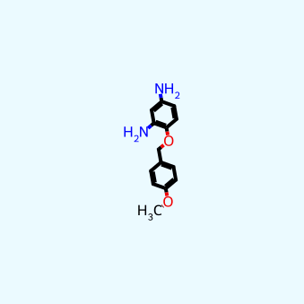 COc1ccc(COc2ccc(N)cc2N)cc1